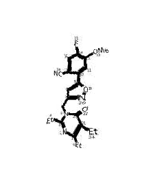 CCc1nc(CC)n(Cc2cc(-c3cc(OC)c(F)cc3C#N)on2)c(=O)c1CC